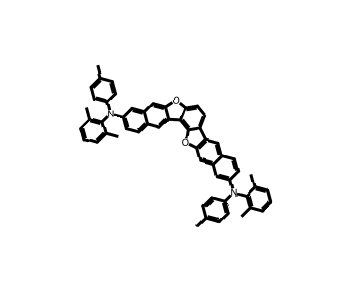 Cc1ccc(N(c2ccc3cc4c(cc3c2)oc2c4ccc3oc4cc5cc(N(c6ccc(C)cc6)c6c(C)cccc6C)ccc5cc4c32)c2c(C)cccc2C)cc1